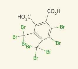 O=C(O)c1c(Br)c(Br)c(C(Br)(Br)Br)c(C(Br)(Br)Br)c1C(=O)O